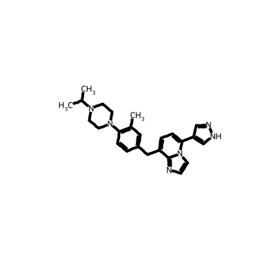 Cc1cc(Cc2ccc(-c3cn[nH]c3)n3ccnc23)ccc1N1CCN(C(C)C)CC1